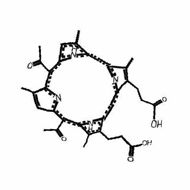 CC(=O)c1c2nc(c(C(C)=O)c3[nH]c(cc4nc(cc5[nH]c1cc5C)C(C)=C4CCC(=O)O)c(CCC(=O)O)c3C)C=C2C